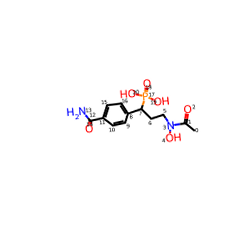 CC(=O)N(O)CCC(c1ccc(C(N)=O)cc1)P(=O)(O)O